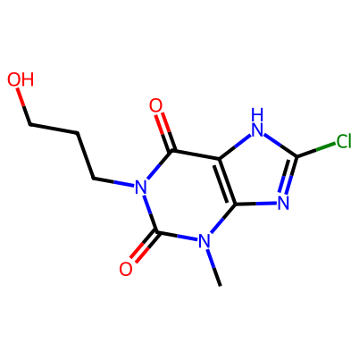 Cn1c(=O)n(CCCO)c(=O)c2[nH]c(Cl)nc21